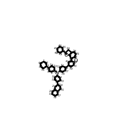 c1ccc(-c2ccc(N(c3ccc(-c4ccc5ccccc5c4)cc3)c3ccc(-c4ccc5oc6ccc7c(c6c5c4)OC(c4ccccc4)C7)cc3)cc2)cc1